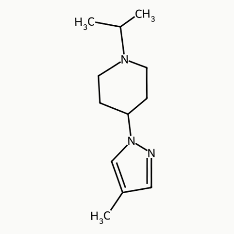 Cc1cnn(C2CCN(C(C)C)CC2)c1